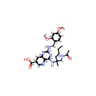 CCCCC(C)(CNC(C)=O)Nc1nc(NCc2ccc(OC)cc2OC)nc2cc(C(=O)O)cnc12